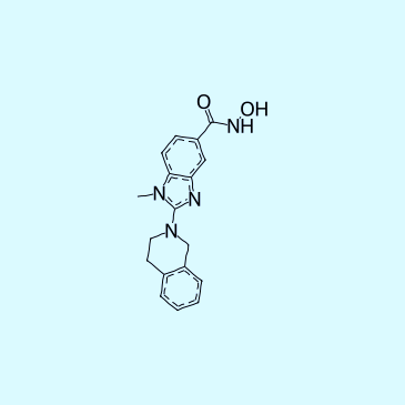 Cn1c(N2CCc3ccccc3C2)nc2cc(C(=O)NO)ccc21